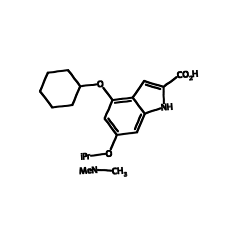 CC(C)Oc1cc(OC2CCCCC2)c2cc(C(=O)O)[nH]c2c1.CNC